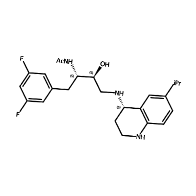 CC(=O)N[C@@H](Cc1cc(F)cc(F)c1)[C@@H](O)CN[C@H]1CCNc2ccc(C(C)C)cc21